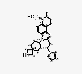 CC1CCc2c(ccc3c2nc(CCn2cccn2)n3C2CCC3(CC2)CNC3)N1C(=O)O